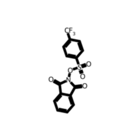 O=C1c2ccccc2C(=O)N1OS(=O)(=O)c1ccc(C(F)(F)F)cc1